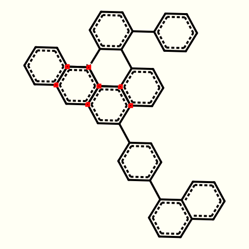 c1ccc(-c2ccccc2-c2c(-c3ccccc3)cccc2N(c2ccccc2)c2ccc(-c3ccc(-c4cccc5ccccc45)cc3)cc2)cc1